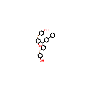 Oc1ccc(Sc2cccc(C(c3ccc(-c4ccccc4)cc3)c3cc(Sc4ccc(O)cc4)ccc3O)c2)cc1